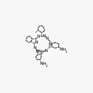 Cc1ccccc1C1=N/N=C2N=C(/N=c3\[nH]/c(c4ccc(N)cc34)=N\C3=NC(=N\1)/c1ccccc13)c1cc(N)ccc1\2